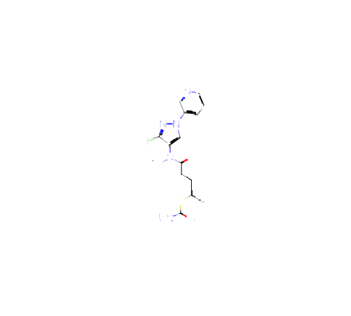 CCC(CCC(=O)N(CC)c1cn(-c2cccnc2)nc1Cl)SC(N)=O